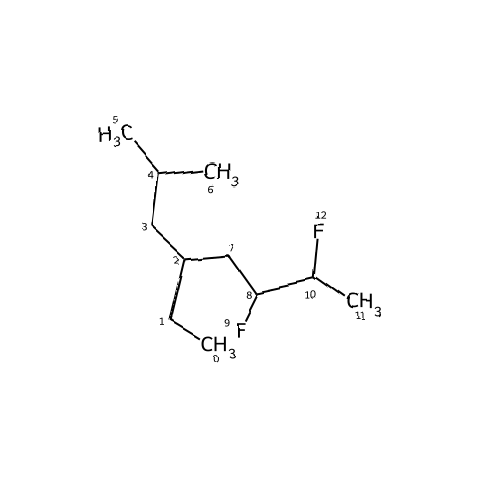 CCC(CC(C)C)CC(F)C(C)F